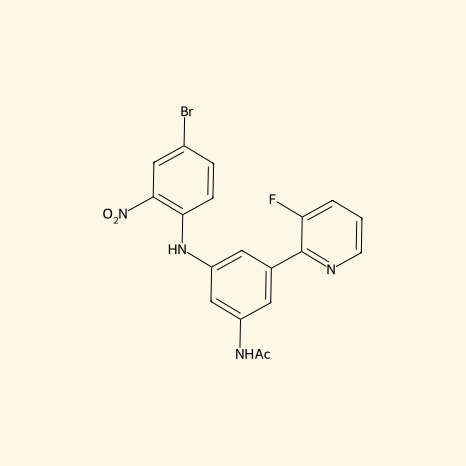 CC(=O)Nc1cc(Nc2ccc(Br)cc2[N+](=O)[O-])cc(-c2ncccc2F)c1